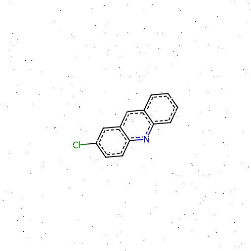 Clc1ccc2nc3ccccc3cc2c1